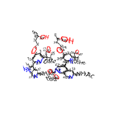 COC1(c2cc(OCCC(C)O)cc(-c3c[nH]c4cnc(NC(C)=O)cc34)n2)CCOC1.COC1(c2cc(OCCC(C)O)cc(-c3cn(C(=O)OC(C)(C)C)c4cnc(NC(C)=O)cc34)n2)CCOC1